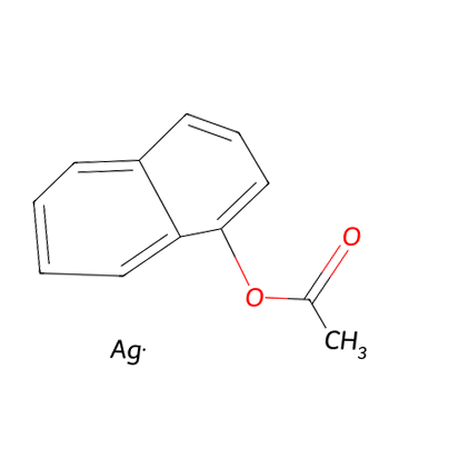 CC(=O)Oc1cccc2ccccc12.[Ag]